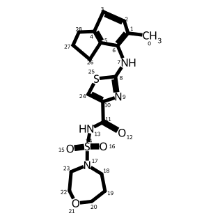 Cc1ccc2c(c1Nc1nc(C(=O)NS(=O)(=O)N3CCCOCC3)cs1)CCC2